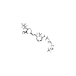 CC(C)(COCC(C)(C)[C@H]1CC[C@H]2C(=CC=C3CCC([Si](C)(C)C(C)(C)C)C(=O)C3)CCC[C@]12C)O[Si](C)(C)C